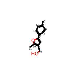 Cc1ccc(-c2cc(CO)c(C)o2)cc1